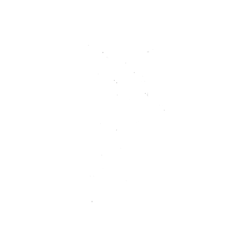 COCC(CC(=O)OC)c1ccc(N2C[C@@H](C)O[C@@H](C)C2)c([N+](=O)[O-])c1